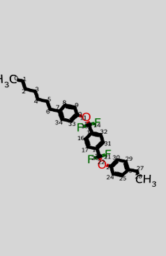 CCCCCCCc1ccc(OC(F)(F)c2ccc(C(F)(F)Oc3ccc(CC)cc3)cc2)cc1